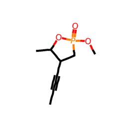 CC#CC1CP(=O)(OC)OC1C